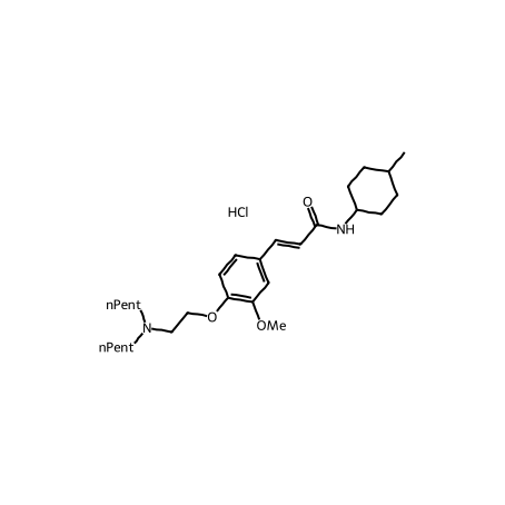 CCCCCN(CCCCC)CCOc1ccc(C=CC(=O)NC2CCC(C)CC2)cc1OC.Cl